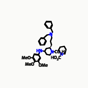 COc1cc(NC2CCN(C(=O)O)[C@@H](CCCN(Cc3ccccc3)Cc3ccccc3)C2)cc(OC)c1OC.O=C(O)N1CCCCC1